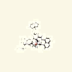 CC[C@@H]1CN2c3nc(OCC45CCCN4CCC5)nc4c(F)c(-c5cccc6ccc(F)c(C#C[Si](C(C)C)(C(C)C)C(C)C)c56)nc(c34)C[C@H](C)[C@H]2CN1C(=O)OC(C)(C)C